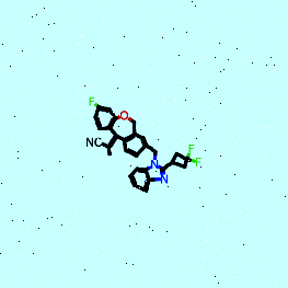 CC(C#N)=C1c2ccc(Cn3c(C4CC(F)(F)C4)nc4ccccc43)cc2COc2cc(F)ccc21